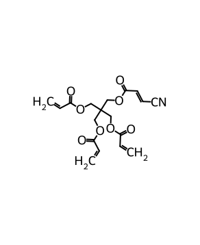 C=CC(=O)OCC(COC(=O)C=C)(COC(=O)C=C)COC(=O)C=CC#N